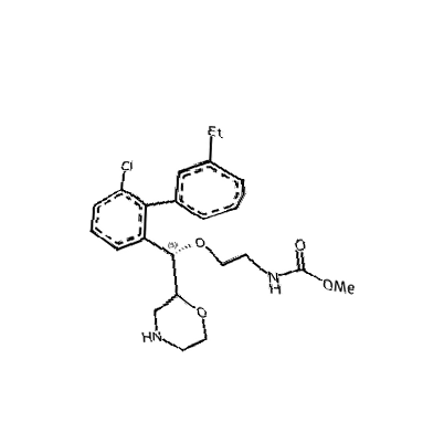 CCc1cccc(-c2c(Cl)cccc2[C@H](OCCNC(=O)OC)C2CNCCO2)c1